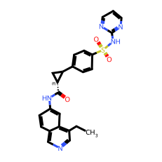 CCc1cncc2ccc(NC(=O)[C@@H]3CC3c3ccc(S(=O)(=O)Nc4ncccn4)cc3)cc12